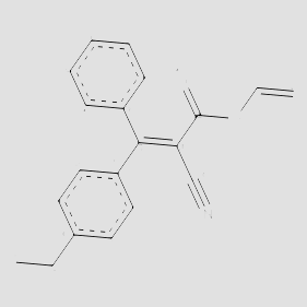 C=COC(=O)C(C#N)=C(c1ccccc1)c1ccc(CC)cc1